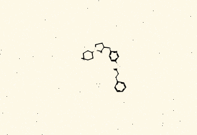 CC1(C)CCC(N2CCC(Cc3ccc(NC(=O)CCc4ccccc4)cc3Cl)C2=O)CC1